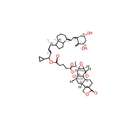 C=C1/C(=C\C=C2/CCC[C@@]3(C)C2CCC3[C@@H](C)/C=C/C(OC(=O)CCCC(=O)O[C@@H]2[C@@]3(C(C)C)O[C@H]3[C@@H]3O[C@]34[C@]23O[C@H]3C[C@H]2C3=C(CC[C@@]24C)C(=O)OC3)C2CC2)C[C@@H](O)C[C@@H]1O